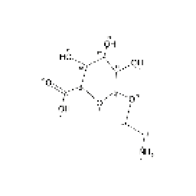 NCCOC1OC(C(=O)O)C(O)C(O)C1O